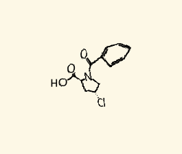 O=C(O)[C@@H]1C[C@@H](Cl)CN1C(=O)c1ccccc1